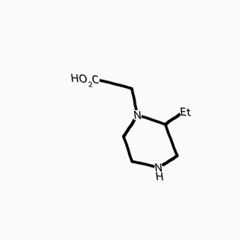 CCC1CNCCN1CC(=O)O